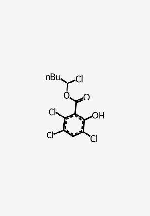 CCCCC(Cl)OC(=O)c1c(O)c(Cl)cc(Cl)c1Cl